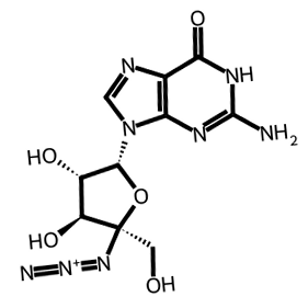 [N-]=[N+]=N[C@]1(CO)O[C@@H](n2cnc3c(=O)[nH]c(N)nc32)[C@@H](O)[C@@H]1O